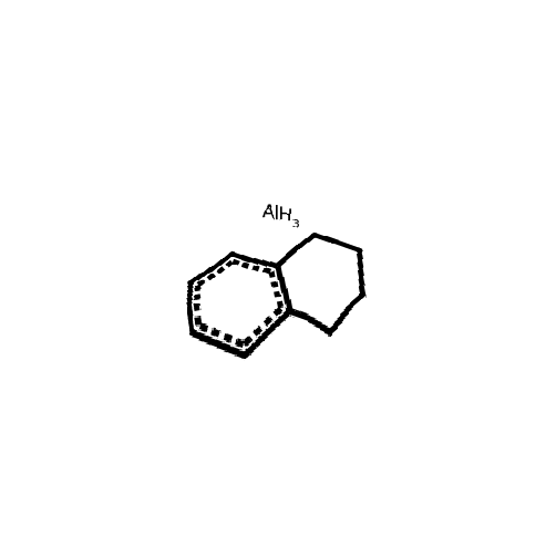 [AlH3].c1ccc2c(c1)CCCC2